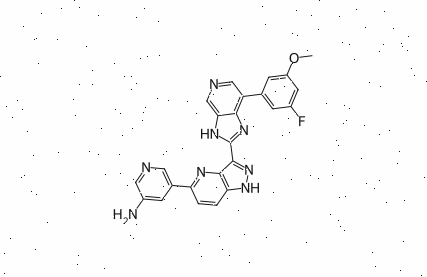 COc1cc(F)cc(-c2cncc3[nH]c(-c4n[nH]c5ccc(-c6cncc(N)c6)nc45)nc23)c1